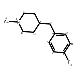 [CH2]C(=O)N1CCC(Cc2ccc(F)cc2)CC1